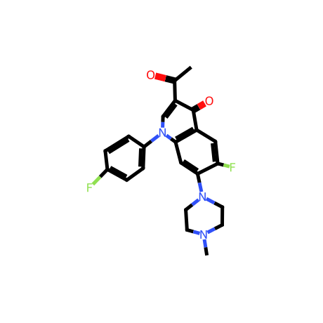 CC(=O)c1cn(-c2ccc(F)cc2)c2cc(N3CCN(C)CC3)c(F)cc2c1=O